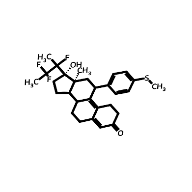 CSc1ccc(C2C[C@@]3(C)C(CC[C@@]3(O)C(C)(F)C(C)(F)F)C3CCC4=CC(=O)CCC4=C23)cc1